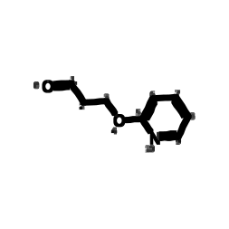 O=[C]CCOc1ccccn1